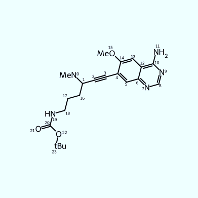 CNC(C#Cc1cc2ncnc(N)c2cc1OC)CCCNC(=O)OC(C)(C)C